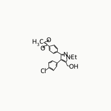 CCn1nc(-c2ccc(S(C)(=O)=O)cc2)c(-c2ccc(Cl)cc2)c1CO